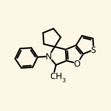 CC1c2oc3sccc3c2C2(CCCC2)N1c1ccccc1